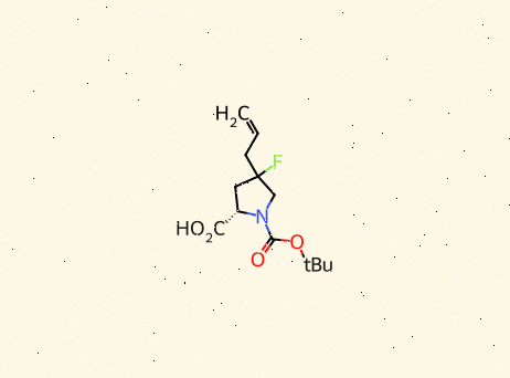 C=CCC1(F)C[C@@H](C(=O)O)N(C(=O)OC(C)(C)C)C1